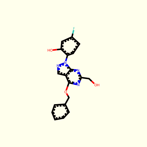 OCc1nc(OCc2ccccc2)c2cnn(-c3ccc(F)cc3O)c2n1